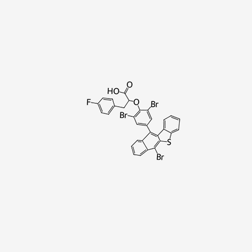 O=C(O)C(Cc1ccc(F)cc1)Oc1c(Br)cc(-c2c3ccccc3c(Br)c3sc4ccccc4c23)cc1Br